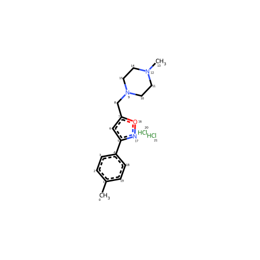 Cc1ccc(-c2cc(CN3CCN(C)CC3)on2)cc1.Cl.Cl